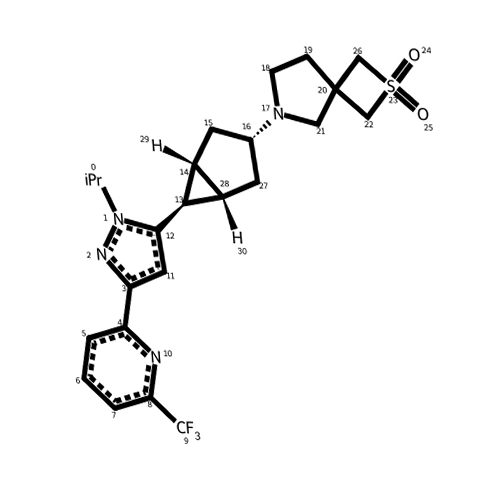 CC(C)n1nc(-c2cccc(C(F)(F)F)n2)cc1[C@H]1[C@@H]2C[C@H](N3CCC4(C3)CS(=O)(=O)C4)C[C@@H]21